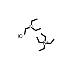 CCN(CC)CC.CC[N+](CC)(CC)CC.[OH-]